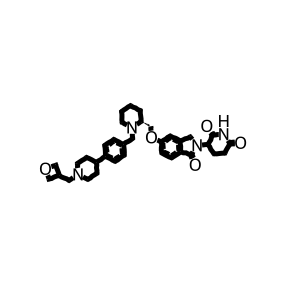 O=C1CCC(N2Cc3cc(OC[C@H]4CCCCN4Cc4ccc(C5CCN(CC6COC6)CC5)cc4)ccc3C2=O)C(=O)N1